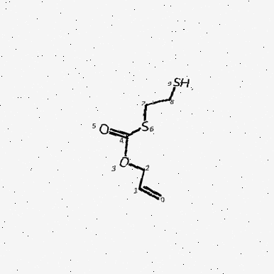 C=CCOC(=O)SCCS